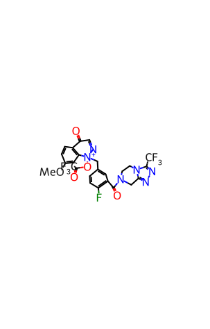 COc1ccc2c(c1)[N+](Cc1ccc(F)c(C(=O)N3CCn4c(nnc4C(F)(F)F)C3)c1)(OC(=O)C(F)(F)F)N=CC2=O